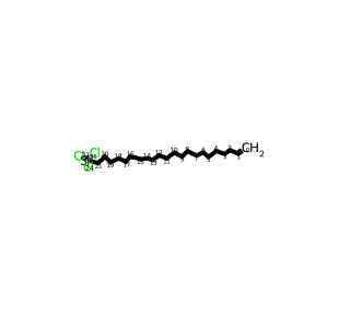 C=CCCCCCCCCCCCCCCCCCCCC[Si](Cl)(Cl)Cl